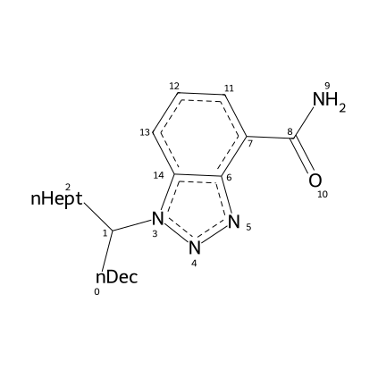 CCCCCCCCCCC(CCCCCCC)n1nnc2c(C(N)=O)cccc21